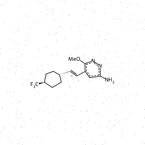 COc1nnc(N)cc1/C=C/[C@H]1CC[C@H](C(F)(F)F)CC1